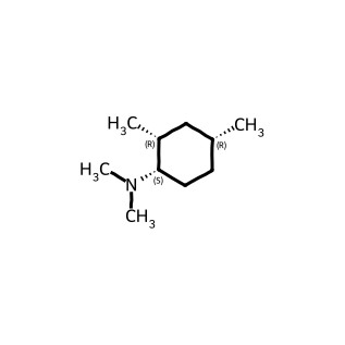 C[C@@H]1CC[C@H](N(C)C)[C@H](C)C1